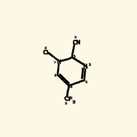 N#CC1N=CC(C(F)(F)F)=CN1Cl